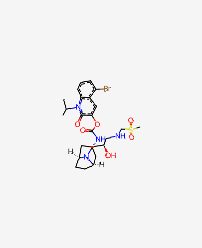 CC(C)n1c(=O)c(OC(=O)N[C@@H]2C[C@H]3CC[C@@H](C2)N3C[C@H](O)CNCS(C)(=O)=O)cc2c(Br)cccc21